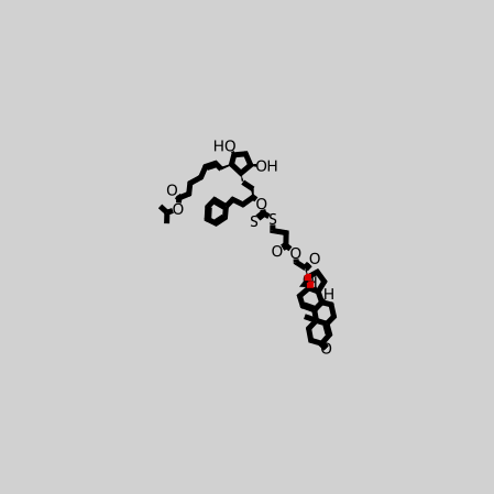 CC(C)OC(=O)CCC/C=C\C[C@@H]1[C@@H](CC[C@H](CCc2ccccc2)OC(=S)SCCC(=O)OCC(=O)[C@@]23CC[C@H]4[C@@H]5CCC6=CC(=O)CCC6(C)C5=CCC42CCO3)[C@H](O)C[C@@H]1O